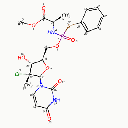 CC(C)OC(=O)[C@@H](C)NP(=O)(OC[C@H]1O[C@@H](n2ccc(=O)[nH]c2=O)[C@](C)(Cl)[C@@H]1O)Sc1ccccc1